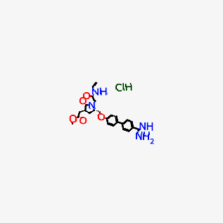 CCNC(=O)CN1C(=O)[C@H](CC(=O)OC)C[C@H]1COc1ccc(-c2ccc(C(=N)N)cc2)cc1.Cl